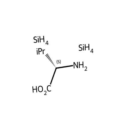 CC(C)[C@H](N)C(=O)O.[SiH4].[SiH4]